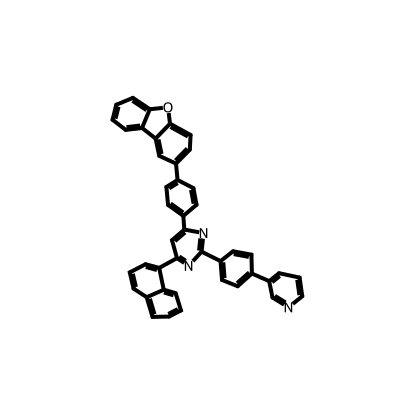 c1cncc(-c2ccc(-c3nc(-c4ccc(-c5ccc6oc7ccccc7c6c5)cc4)cc(-c4cccc5ccccc45)n3)cc2)c1